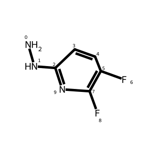 NNc1ccc(F)c(F)n1